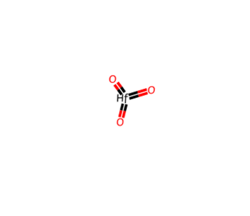 [O]=[Hf](=[O])=[O]